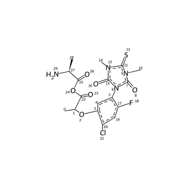 CC(Oc1cc(-n2c(=O)n(C)c(=S)n(C)c2=O)c(F)cc1Cl)C(=O)OC(=O)[C@H](C)N